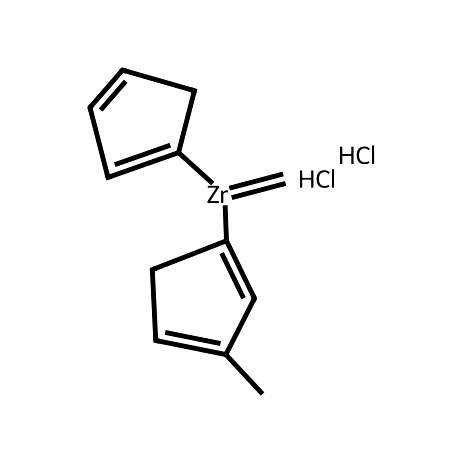 Cl.Cl.[CH2]=[Zr]([C]1=CC=CC1)[C]1=CC(C)=CC1